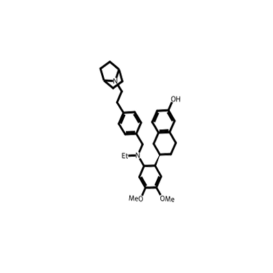 CCN(Cc1ccc(CCN2C3CCC2CC3)cc1)C1C=C(OC)C(OC)=CC1[C@@H]1CCc2cc(O)ccc2C1